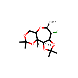 CO[C@@H]1OC2COC(C)(C)O[C@H]2[C@@H]2OC(C)(C)OC2[C@@H]1F